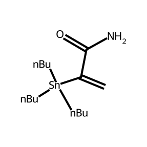 C=[C](C(N)=O)[Sn]([CH2]CCC)([CH2]CCC)[CH2]CCC